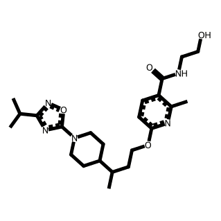 Cc1nc(OCCC(C)C2CCN(c3nc(C(C)C)no3)CC2)ccc1C(=O)NCCO